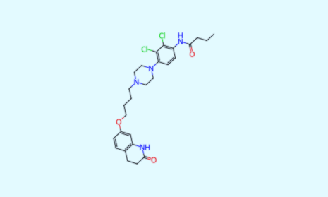 CCCC(=O)Nc1ccc(N2CCN(CCCCOc3ccc4c(c3)NC(=O)CC4)CC2)c(Cl)c1Cl